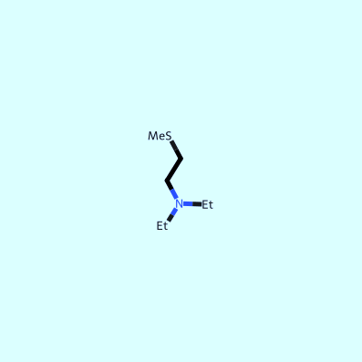 [C]SCCN(CC)CC